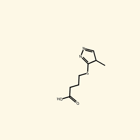 CC1C=NN=C1SCCCC(=O)O